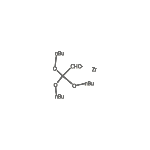 CCCCOC([C]=O)(OCCCC)OCCCC.[Zr]